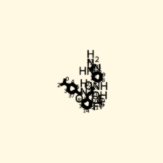 CC(C)c1ccc(C(=O)NC(c2ccccc2OC(F)(F)F)C(O)C(=O)Nc2ccc3nc(N)[nH]c3c2)cc1